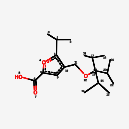 CC(C)c1oc(C(=O)O)cc1CO[Si](C(C)C)(C(C)C)C(C)C